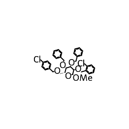 CO[C@@H]1O[C@H](COCc2ccc(Cl)cc2)[C@@H](OCc2ccccc2)[C@H](OCc2ccccc2)[C@H]1OCc1ccccc1Cl